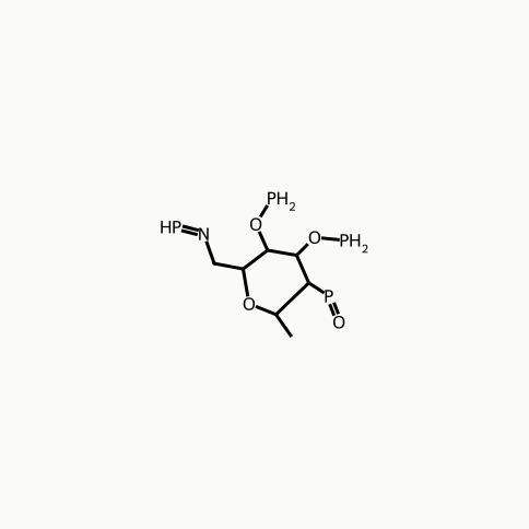 CC1OC(CN=P)C(OP)C(OP)C1P=O